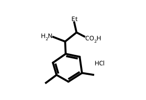 CCC(C(=O)O)C(N)c1cc(C)cc(C)c1.Cl